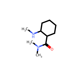 CNC1CCCC[C]1C(=O)N(C)C